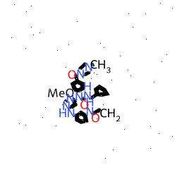 C=CC(=O)Nc1cccc(Nc2cc(N(C(=O)NCc3ccccc3)c3ccc(C(=O)N4CCN(C)CC4)cc3OC)ncn2)c1